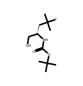 CC(C)(F)C[C@@H](CO)NC(=O)OC(C)(C)C